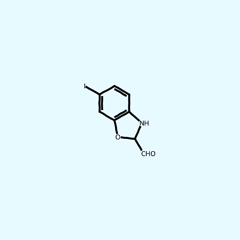 O=CC1Nc2ccc(I)cc2O1